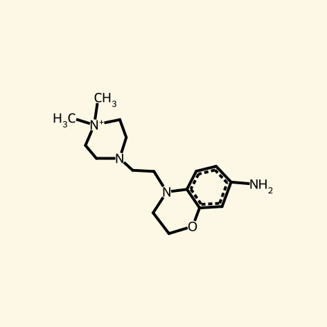 C[N+]1(C)CCN(CCN2CCOc3cc(N)ccc32)CC1